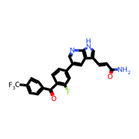 NC(=O)C=Cc1c[nH]c2ncc(-c3ccc(C(=O)c4ccc(C(F)(F)F)cc4)c(F)c3)cc12